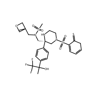 CC1(CN(C[C@@]2(c3ccc(C(C)(O)C(F)(F)F)cc3)CN(S(=O)(=O)C3=CC=CCC3=S)CCN2)S(C)(=O)=O)COC1